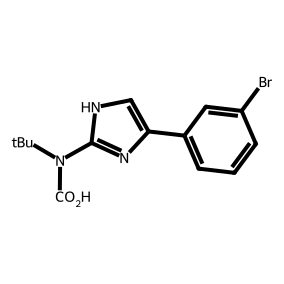 CC(C)(C)N(C(=O)O)c1nc(-c2cccc(Br)c2)c[nH]1